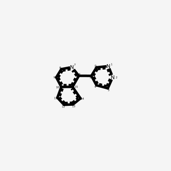 [c]1nnccc1-c1nccc2ccccc12